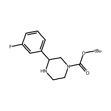 CC(C)(C)OC(=O)N1CCNC(c2cccc(F)c2)C1